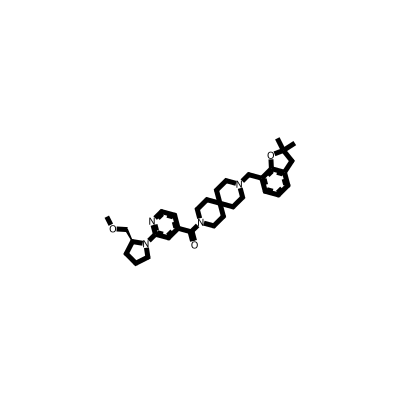 COC[C@@H]1CCCN1c1cc(C(=O)N2CCC3(CCN(Cc4cccc5c4OC(C)(C)C5)CC3)CC2)ccn1